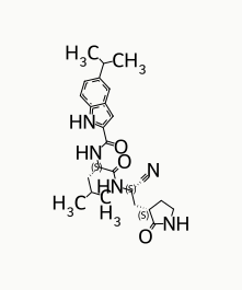 CC(C)C[C@H](NC(=O)c1cc2cc(C(C)C)ccc2[nH]1)C(=O)N[C@H](C#N)C[C@@H]1CCNC1=O